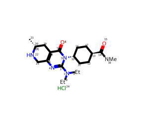 CCN(CC)c1nc2c(c(=O)n1[C@H]1CC[C@H](C(=O)NC)CC1)C[C@@H](C)NC2.Cl